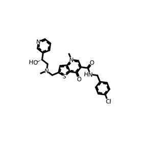 CN(Cc1cc2c(s1)c(=O)c(C(=O)NCc1ccc(Cl)cc1)cn2C)C[C@H](O)c1cccnc1